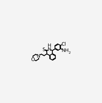 Nc1cc(C2NC(=S)C(CCN3CCOCC3)c3ccccc32)ccc1Cl